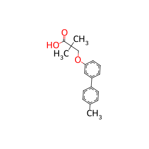 Cc1ccc(-c2cccc(OCC(C)(C)C(=O)O)c2)cc1